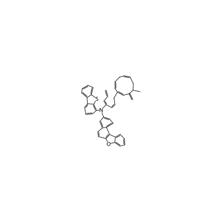 C=C/C=C(\C=C/CC1=C/C(=C)C(C)C/C=C\C/C=C\1)N(c1ccc2c(ccc3oc4ccccc4c32)c1)c1cccc2c1sc1ccccc12